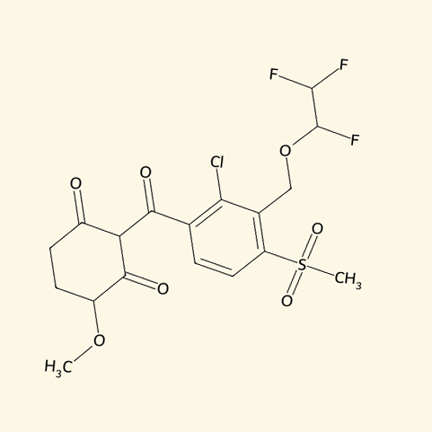 COC1CCC(=O)C(C(=O)c2ccc(S(C)(=O)=O)c(COC(F)C(F)F)c2Cl)C1=O